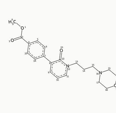 COC(=O)c1ccc(-c2cccn(CCCN3CCOCC3)c2=O)cc1